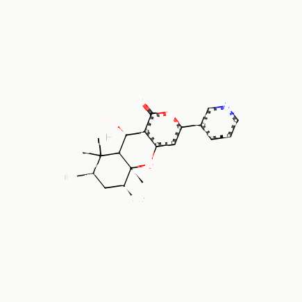 CC(=O)O[C@H]1CC(C(C)C)C(C)(C)[C@H]2[C@@H](O)c3c(cc(-c4cccnc4)oc3=O)O[C@]12C